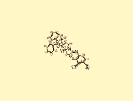 Cc1c(/N=C2\OC[C@@H]3C(O[Si](c4ccccc4)(c4ccccc4)C(C)(C)C)=CCN23)ccc(C#N)c1Cl